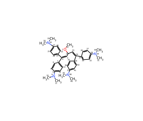 COC(C=C(c1ccc(N(C)C)cc1)c1ccc(N(C)C)cc1)C=C(c1ccc(N(C)C)cc1)c1ccc(N(C)C)cc1